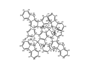 CC(C)(c1c(-c2cccc(F)c2)c(-n2c3ccccc3c3c4oc5ccccc5c4ccc32)c(C(C)(C)n2c3ccccc3c3ccccc32)c(-n2c3ccccc3c3c4oc5ccccc5c4ccc32)c1-c1cccc(F)c1)n1c2ccccc2c2ccccc21